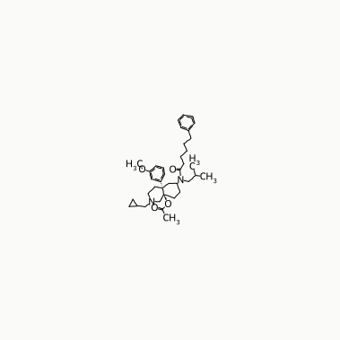 COc1cccc([C@@]23CCN(CC4CC4)C[C@@]2(OC(C)=O)CC[C@H](N(CC(C)C)C(=O)CCCCCc2ccccc2)C3)c1